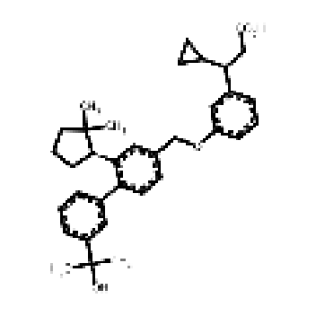 CC(C)(O)c1cccc(-c2ccc(COc3cccc(C(CC(=O)O)C4CC4)c3)cc2[C@H]2CCCC2(C)C)c1